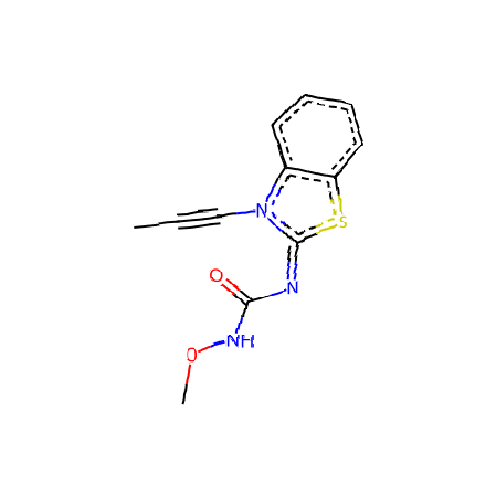 CC#Cn1c(=NC(=O)NOC)sc2ccccc21